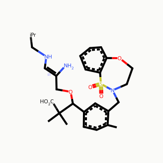 Cc1ccc(C(OC/C(N)=C/NCC(C)C)C(C)(C)C(=O)O)cc1CN1CCOc2ccccc2S1(=O)=O